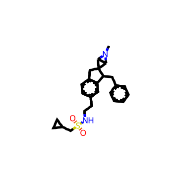 CN1C2C1C21Cc2ccc(CCNS(=O)(=O)CC3CC3)cc2C1Cc1ccccc1